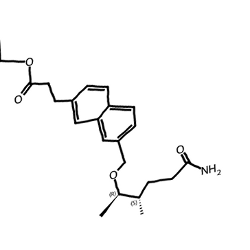 CCOC(=O)CCc1ccc2ccc(CO[C@H](C)[C@@H](C)CCC(N)=O)cc2c1